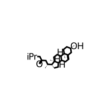 CC(C)CC(=O)C[C@@H](C)[C@H]1CC[C@H]2[C@@H]3CC=C4C[C@@H](O)CC[C@]4(C)[C@H]3CC[C@]12C